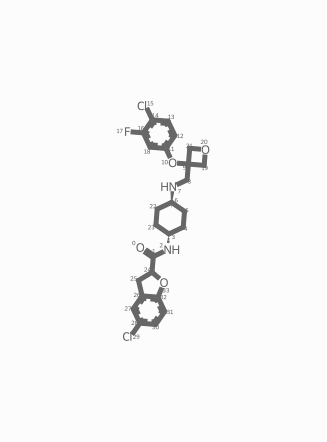 O=C(N[C@H]1CC[C@H](NCC2(Oc3ccc(Cl)c(F)c3)COC2)CC1)C1Cc2cc(Cl)ccc2O1